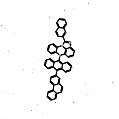 c1ccc2c(c1)N(c1c3ccccc3c(-c3ccc4c(ccc5ccccc54)c3)c3ccccc13)c1cccc3nc(-c4ccc5ccccc5c4)n-2c13